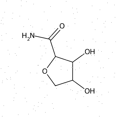 NC(=O)C1OCC(O)C1O